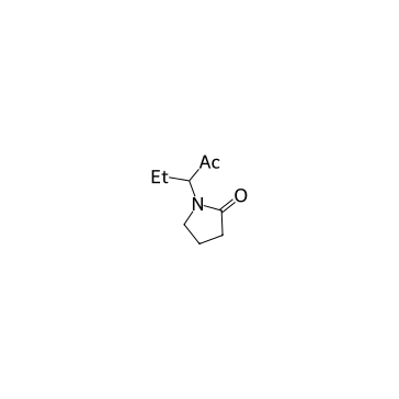 CCC(C(C)=O)N1CCCC1=O